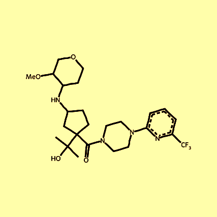 COC1COCCC1NC1CCC(C(=O)N2CCN(c3cccc(C(F)(F)F)n3)CC2)(C(C)(C)O)C1